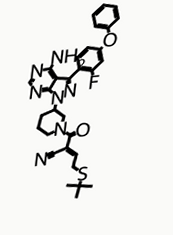 CC(C)(C)SC/C=C(\C#N)C(=O)N1CCCC(n2nc(-c3ccc(Oc4ccccc4)cc3F)c3c(N)ncnc32)C1